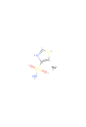 [NH-]S(=O)(=O)c1cscn1.[Na+]